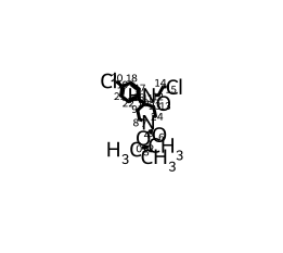 CC(C)(C)OC(=O)N1CCC(NC(=O)CCl)(c2ccc(Cl)cc2)CC1